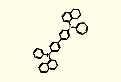 C1=CCC=C(N(c2ccc(-c3ccc(N(C4=c5ccccc5=CCC4)c4ccccc4)cc3)cc2)c2cccc3c2CCCC3)C=C1